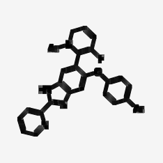 CC(=O)c1ccc(Oc2cc3nc(-c4ccccn4)[nH]c3cc2C2=C(F)C=CCN2C(C)=O)cc1